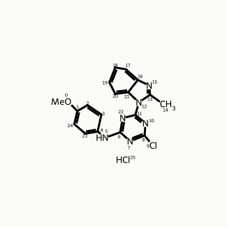 COc1ccc(Nc2nc(Cl)nc(-n3c(C)nc4ccccc43)n2)cc1.Cl